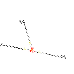 CCCCCCCCCCCCSCCOP(OCCSCCCCCCCCCCCC)OCCSCCCCCCCCCCCC